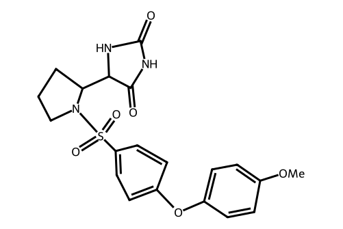 COc1ccc(Oc2ccc(S(=O)(=O)N3CCCC3C3NC(=O)NC3=O)cc2)cc1